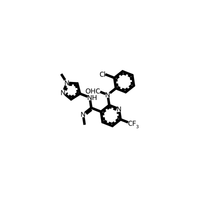 C/N=C(/Nc1cnn(C)c1)c1ccc(C(F)(F)F)nc1N(C=O)c1ccccc1Cl